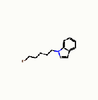 BrCCCCCn1ccc2ccccc21